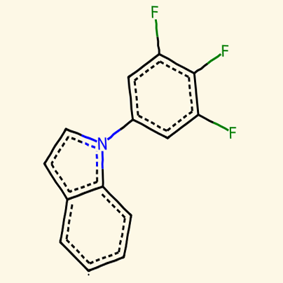 Fc1cc(-n2ccc3c[c]ccc32)cc(F)c1F